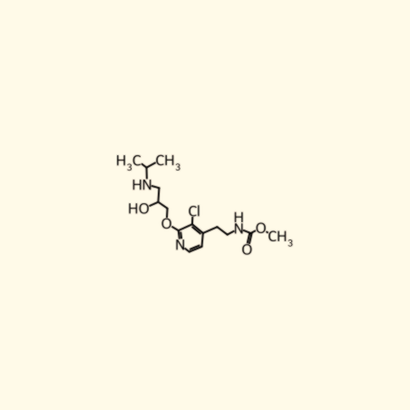 COC(=O)NCCc1ccnc(OCC(O)CNC(C)C)c1Cl